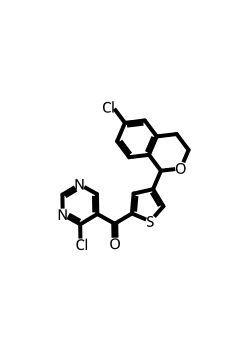 O=C(c1cc(C2OCCc3cc(Cl)ccc32)cs1)c1cncnc1Cl